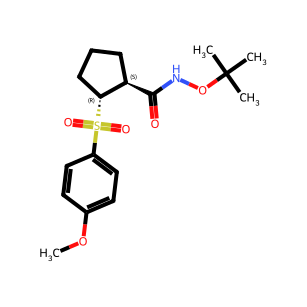 COc1ccc(S(=O)(=O)[C@@H]2CCC[C@H]2C(=O)NOC(C)(C)C)cc1